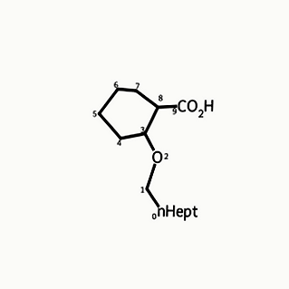 CCCCCCCCOC1CCCCC1C(=O)O